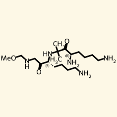 COCNCC(=O)[C@@H](CCCCN)NC(C)(C)C(=O)[C@H](N)CCCCN